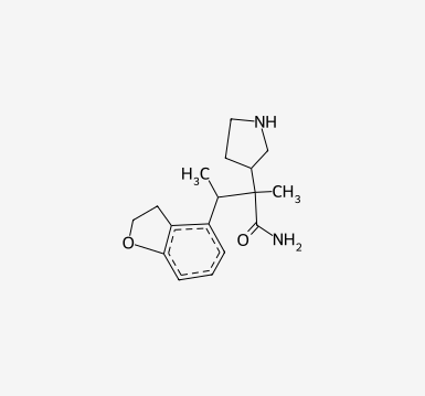 CC(c1cccc2c1CCO2)C(C)(C(N)=O)C1CCNC1